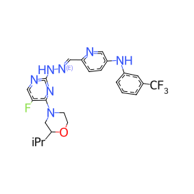 CC(C)C1CN(c2nc(N/N=C/c3ccc(Nc4cccc(C(F)(F)F)c4)cn3)ncc2F)CCO1